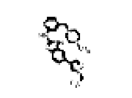 CN1CCN(Cc2ccnc(Nc3nc4ccc(-c5cnn(CC(F)(F)F)c5)cc4[nH]3)c2)CC1